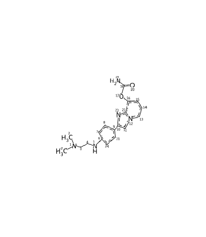 CN(C)CCNc1ccc(-c2cn3cccc(OC(N)=O)c3n2)cc1